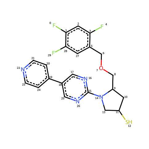 Fc1cc(F)c(COCC2CC(S)CN2c2ncc(-c3ccncc3)cn2)cc1F